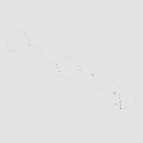 O=C(NC1CN2CCC(CC2)C1O)c1ccc(OCc2ccccc2)cc1